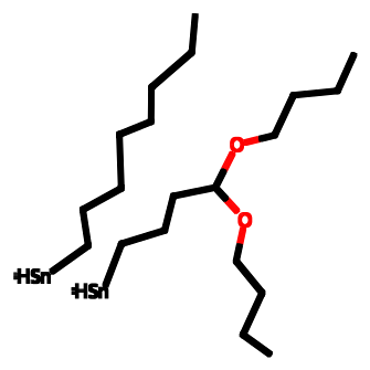 CCCCCCC[CH2][SnH].CCCCOC(CC[CH2][SnH])OCCCC